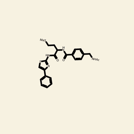 CSCCC(NC(=O)c1ccc(CNC(C)=O)cc1)C(=O)Nc1nc(-c2ccccc2)cs1